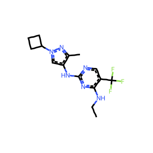 CCNc1nc(Nc2cn(C3CCC3)nc2C)ncc1C(F)(F)F